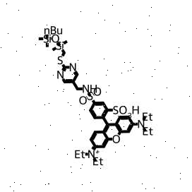 CCCC[Si](C)(C)O[Si](C)(C)CSc1ncc(CNS(=O)(=O)c2ccc(-c3c4ccc(=[N+](CC)CC)cc-4oc4cc(N(CC)CC)ccc34)c(S(=O)(=O)O)c2)cn1